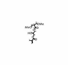 C=C(C)C(=O)OCC(O)COC(=O)C(COC)COC